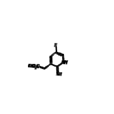 CCOC(=O)Cc1cc(F)c[nH]c1=N